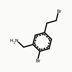 NCc1cc(CCBr)ccc1Br